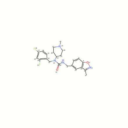 Cc1noc2ccc(CNC(=O)N(Cc3ccc(F)cc3F)C3CCN(C)CC3)cc12